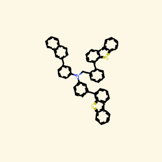 c1cc(-c2ccc3ccccc3c2)cc(N(Cc2ccccc2-c2cccc3c2sc2ccccc23)c2cccc(-c3cccc4c3sc3ccccc34)c2)c1